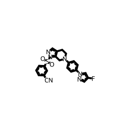 N#Cc1cccc(S(=O)(=O)n2ncc3c2CN(c2ccc(-n4cc(F)cn4)cc2)CC3)c1